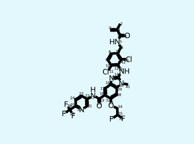 C=C(C)C(=O)NCc1ccc(Cl)c(Nc2nc3cc(C(=O)Nc4ccc(C(F)(F)F)nc4)c(OCC(F)F)cc3n2C)c1Cl